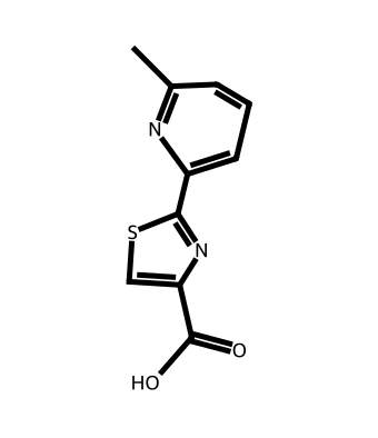 Cc1cccc(-c2nc(C(=O)O)cs2)n1